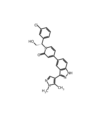 Cc1c(-c2n[nH]c3ccc(-c4ccn([C@H](CO)c5cccc(Cl)c5)c(=O)c4)cc23)cnn1C